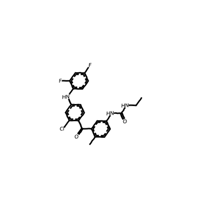 CCNC(=O)Nc1ccc(C)c(C(=O)c2ccc(Nc3ccc(F)cc3F)cc2Cl)c1